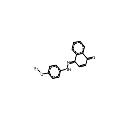 CCOc1ccc(N/N=C2\C=CC(=O)c3ccccc32)cc1